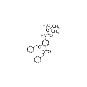 CC(C)(C)OC(=O)Nc1ccc(C(=O)OCc2ccccc2)c(OCc2ccccc2)c1